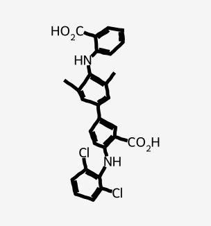 Cc1cc(-c2ccc(Nc3c(Cl)cccc3Cl)c(C(=O)O)c2)cc(C)c1Nc1ccccc1C(=O)O